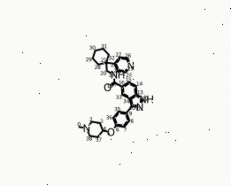 CN1CCC(Oc2ccc(-c3n[nH]c4ccc(C(=O)NCC5(c6ccncc6)CCCCC5)cc34)cc2)CC1